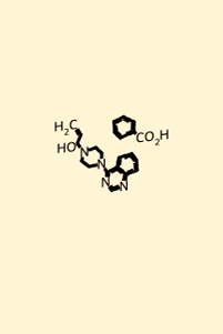 C=CC(O)N1CCN(c2ncnc3ccccc23)CC1.O=C(O)c1ccccc1